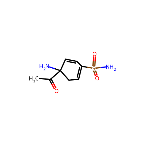 CC(=O)C1(N)C=CC(S(N)(=O)=O)=CC1